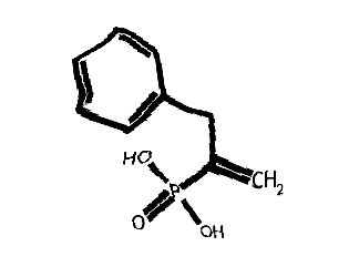 C=C(Cc1ccccc1)P(=O)(O)O